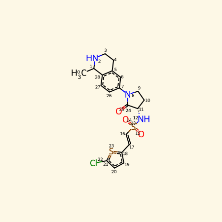 CC1NCCc2cc(N3CC[C@H](NS(=O)(=O)/C=C/c4ccc(Cl)s4)C3=O)ccc21